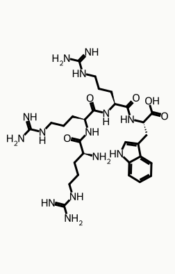 N=C(N)NCCC[C@H](NC(=O)[C@H](CCCNC(=N)N)NC(=O)[C@@H](N)CCCNC(=N)N)C(=O)N[C@@H](Cc1c[nH]c2ccccc12)C(=O)O